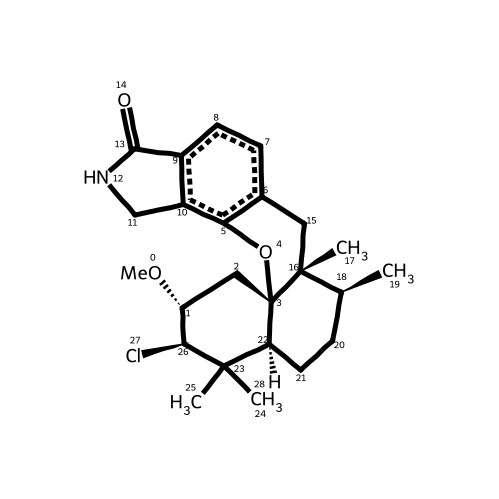 CO[C@@H]1C[C@@]23Oc4c(ccc5c4CNC5=O)C[C@]2(C)[C@@H](C)CC[C@H]3C(C)(C)[C@H]1Cl